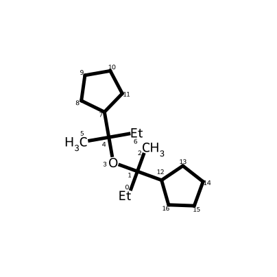 CCC(C)(OC(C)(CC)C1CCCC1)C1CCCC1